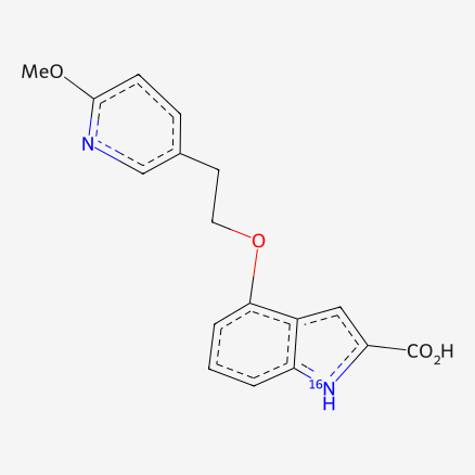 COc1ccc(CCOc2cccc3[16nH]c(C(=O)O)cc23)cn1